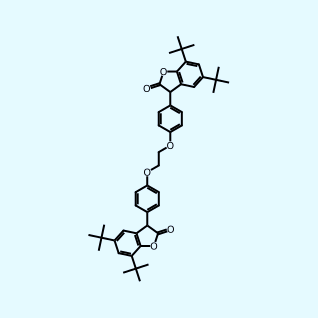 CC(C)(C)c1cc2c(c(C(C)(C)C)c1)OC(=O)C2c1ccc(OCCOc2ccc(C3C(=O)Oc4c3cc(C(C)(C)C)cc4C(C)(C)C)cc2)cc1